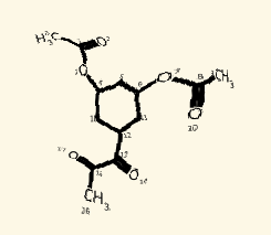 CC(=O)OC1CC(OC(C)=O)CC(C(=O)C(C)=O)C1